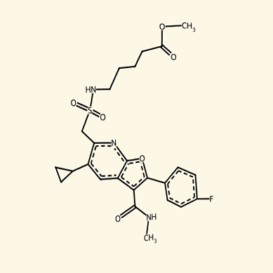 CNC(=O)c1c(-c2ccc(F)cc2)oc2nc(CS(=O)(=O)NCCCCC(=O)OC)c(C3CC3)cc12